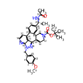 COc1ccc(Cn2nc(C3=CCN(C(=O)OC(C)(C)C)CC3)c3c(-c4ccc([C@@H](C)NC(C)=O)cc4)ccnc32)cc1